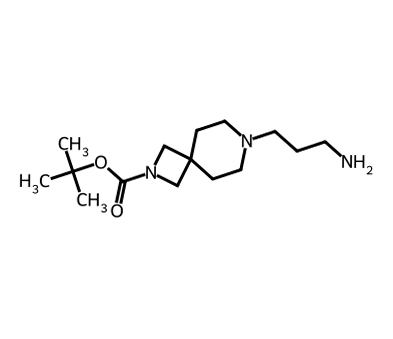 CC(C)(C)OC(=O)N1CC2(CCN(CCCN)CC2)C1